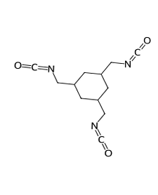 O=C=NCC1CC(CN=C=O)CC(CN=C=O)C1